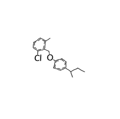 CCC(C)c1ccc(OCc2c(C)cccc2Cl)cc1